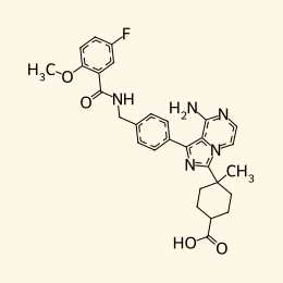 COc1ccc(F)cc1C(=O)NCc1ccc(-c2nc(C3(C)CCC(C(=O)O)CC3)n3ccnc(N)c23)cc1